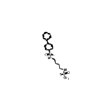 CS(=O)(=O)NCCCCNS(=O)(=O)c1ccc(-c2ccccc2)cc1